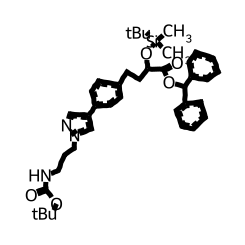 CC(C)(C)OC(=O)NCCCn1cc(-c2ccc(CCC(O[Si](C)(C)C(C)(C)C)C(=O)OC(c3ccccc3)c3ccccc3)cc2)cn1